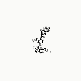 COc1ccc2ncc(=O)n(CCN3CC[C@H](NCc4ccc5c(n4)NC(=O)CS5)[C@@H](OC)C3)c2c1